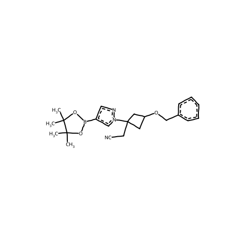 CC1(C)OB(c2cnn(C3(CC#N)CC(OCc4ccccc4)C3)c2)OC1(C)C